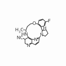 C[C@H]1CCOc2ccc(F)cc2[C@H]2CCCN2c2ccc3c(n2)=C(N1)C(C#N)CN=3